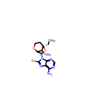 COC[C@@]12CCOC(C1OC)[C@H](n1c(Br)nc3c(N)ncnc31)O2